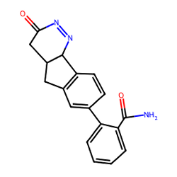 NC(=O)c1ccccc1-c1ccc2c(c1)CC1CC(=O)N=NC21